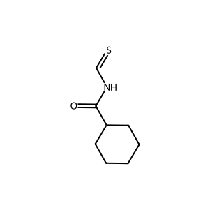 O=C(N[C]=S)C1CCCCC1